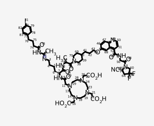 C/C(=N\CCCC[C@H](NC(=O)CN1CCN(CC(=O)O)CCN(CC(=O)O)CCN(CC(=O)O)CC1)C(=O)N[C@@H](C)C(=O)N1CCC(CCCOc2ccc3nccc(C(=O)NCC(=O)N4CC(F)(F)C[C@@H]4C#N)c3c2)CC1)NC(=O)CCCc1ccc(I)cc1